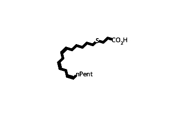 CCCCC/C=C\C/C=C\C/C=C\CCCCCSCCC(=O)O